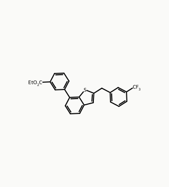 CCOC(=O)c1cccc(-c2cccc3cc(Cc4cccc(C(F)(F)F)c4)sc23)c1